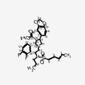 CCCCCS(=O)(=O)N(CCC)CCN1CC(c2ccc3c(c2)OCO3)[C@H](C(=O)O)[C@H]1c1ccc(F)c(F)c1